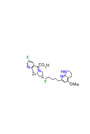 COc1cc(CCCCC(F)[C@@H]2CCN([C@@H](C(=O)O)c3cc(F)cnc3C3CC3)C2)nc2c1CCCN2